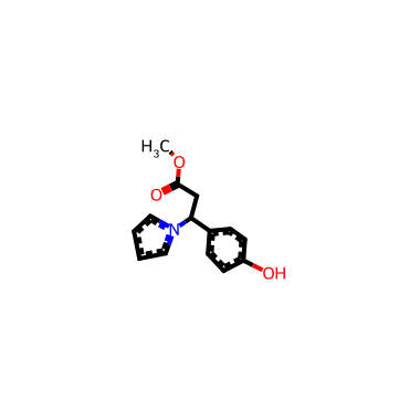 COC(=O)CC(c1ccc(O)cc1)n1cccc1